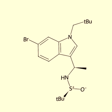 C[C@@H](N[S@@+]([O-])C(C)(C)C)c1cn(CC(C)(C)C)c2cc(Br)ccc12